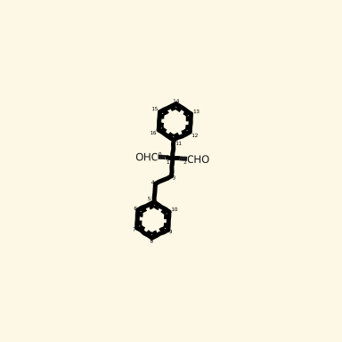 O=CC(C=O)(CCc1ccccc1)c1ccccc1